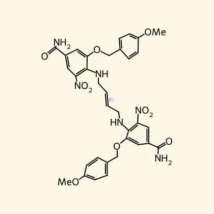 COc1ccc(COc2cc(C(N)=O)cc([N+](=O)[O-])c2NC/C=C/CNc2c(OCc3ccc(OC)cc3)cc(C(N)=O)cc2[N+](=O)[O-])cc1